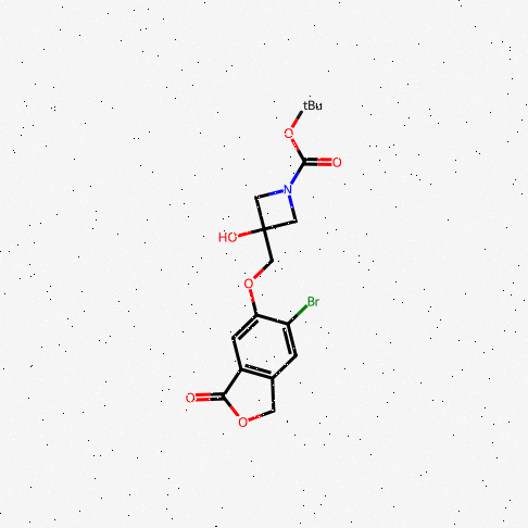 CC(C)(C)OC(=O)N1CC(O)(COc2cc3c(cc2Br)COC3=O)C1